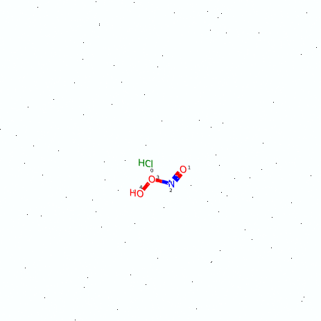 Cl.O=NOO